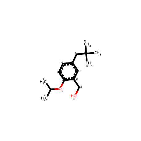 CC(C)Oc1ccc(CC(C)(C)C)cc1CO